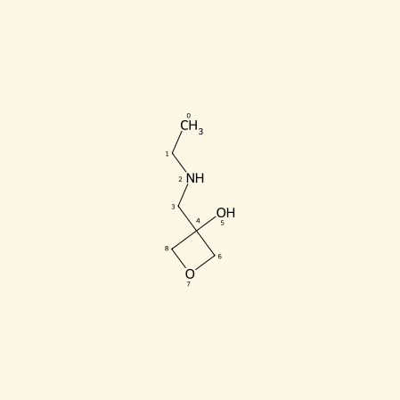 CCNCC1(O)COC1